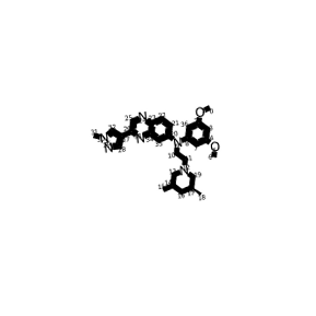 COc1cc(OC)cc(N(CCN2CC(C)C[C@H](C)C2)c2ccc3ncc(-c4cnn(C)c4)nc3c2)c1